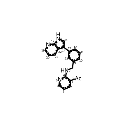 CC(=O)c1cccnc1NCc1cccc(-c2c[nH]c3ncccc23)c1